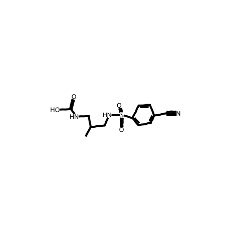 CC(CNC(=O)O)CNS(=O)(=O)c1ccc(C#N)cc1